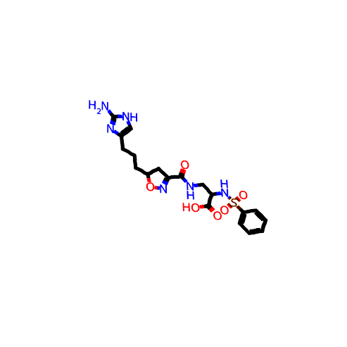 Nc1nc(CCCC2CC(C(=O)NCC(NS(=O)(=O)c3ccccc3)C(=O)O)=NO2)c[nH]1